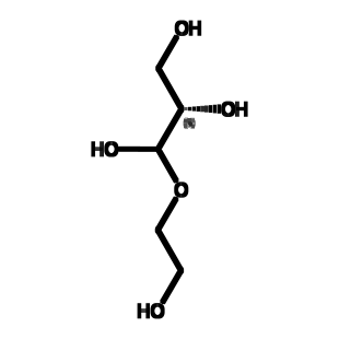 OCCOC(O)[C@@H](O)CO